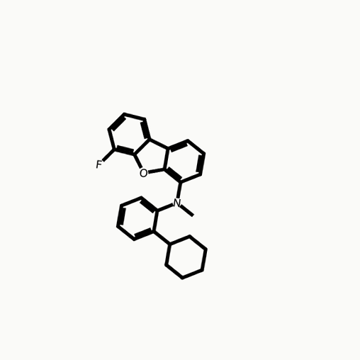 CN(c1ccccc1C1CCCCC1)c1cccc2c1oc1c(F)cccc12